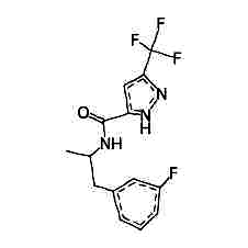 CC(Cc1cccc(F)c1)NC(=O)c1cc(C(F)(F)F)n[nH]1